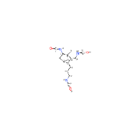 CC12CC(CC1N=C=O)C(CCCN=C=O)C2CN=C=O